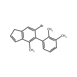 Cc1cccc(-c2c(Br)cc3c(c2C)C=CC3)c1C